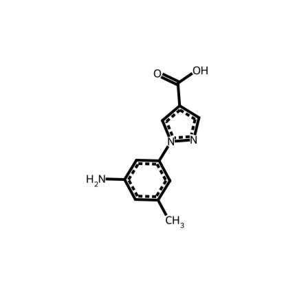 Cc1cc(N)cc(-n2cc(C(=O)O)cn2)c1